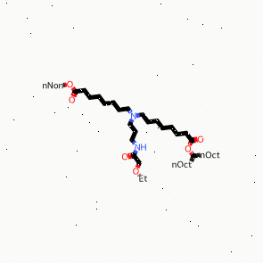 CCCCCCCCCOC(=O)CCCCCCCN(CCCCCCCC(=O)OC(CCCCCCCC)CCCCCCCC)CCCNC(=O)COCC